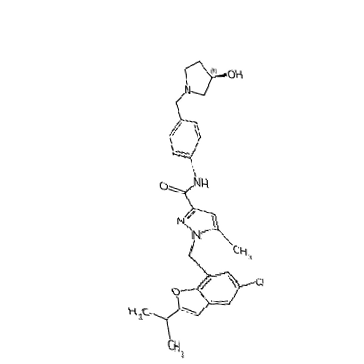 Cc1cc(C(=O)Nc2ccc(CN3CC[C@@H](O)C3)cc2)nn1Cc1cc(Cl)cc2cc(C(C)C)oc12